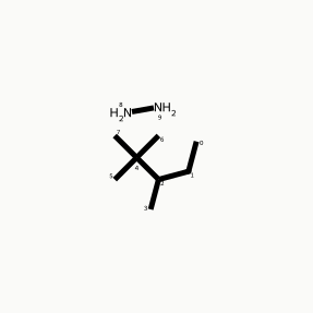 CCC(C)C(C)(C)C.NN